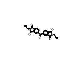 C=CCN1C(=O)c2ccc(C(=O)c3ccc4c(c3)C(=O)N(CC=C)C4=O)cc2C1=O